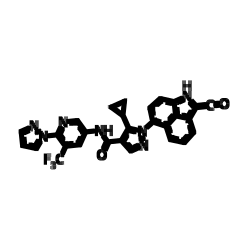 O=C=c1[nH]c2ccc(-n3ncc(C(=O)Nc4cnc(-n5cccn5)c(C(F)(F)F)c4)c3C3CC3)c3cccc1c23